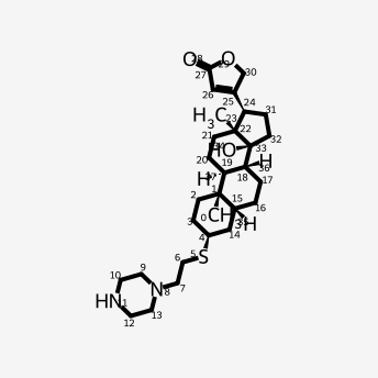 C[C@]12CC[C@H](SCCN3CCNCC3)C[C@H]1CC[C@@H]1[C@@H]2CC[C@]2(C)[C@@H](C3=CC(=O)OC3)CC[C@]12O